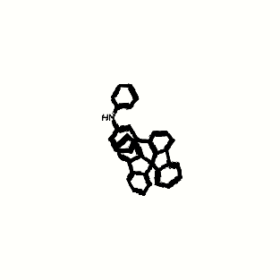 c1ccc(Nc2cccc(-c3cccc4c3C3(c5ccccc5-c5ccccc53)c3ccccc3-4)c2)cc1